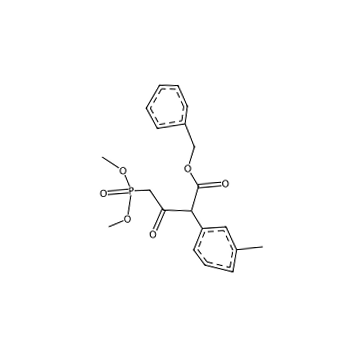 COP(=O)(CC(=O)C(C(=O)OCc1ccccc1)c1cccc(C)c1)OC